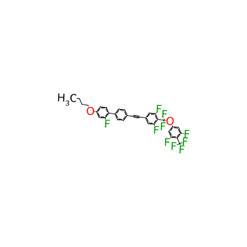 CCCCOc1ccc(-c2ccc(C#Cc3cc(F)c(C(F)(F)Oc4cc(F)c(C(F)(F)F)c(F)c4)c(F)c3)cc2)c(F)c1